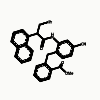 COC(=O)c1ccccc1Cc1ccc(C#N)cc1NC(=O)C(CC(C)C)c1cccc2ccccc12